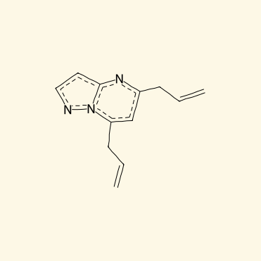 C=CCc1cc(CC=C)n2nccc2n1